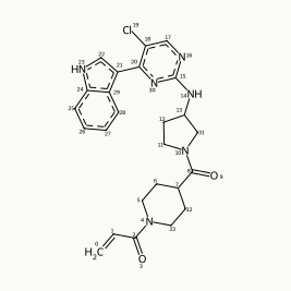 C=CC(=O)N1CCC(C(=O)N2CCC(Nc3ncc(Cl)c(-c4c[nH]c5ccccc45)n3)C2)CC1